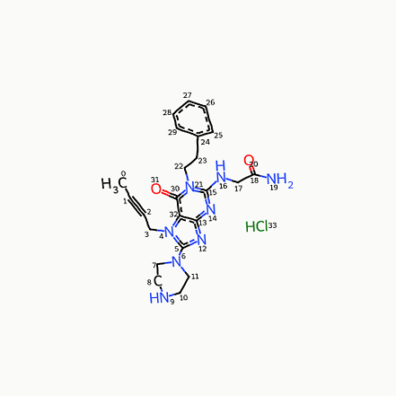 CC#CCn1c(N2CCNCC2)nc2nc(NCC(N)=O)n(CCc3ccccc3)c(=O)c21.Cl